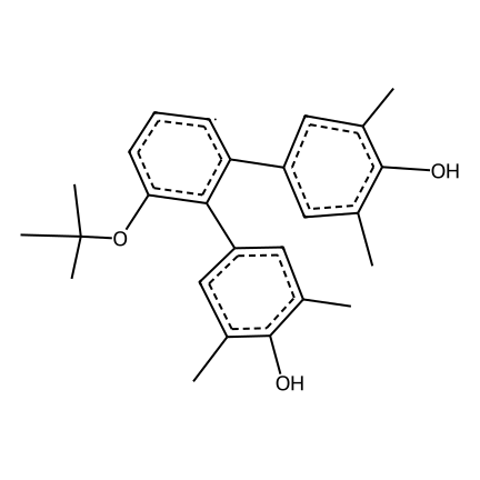 Cc1cc(-c2[c]ccc(OC(C)(C)C)c2-c2cc(C)c(O)c(C)c2)cc(C)c1O